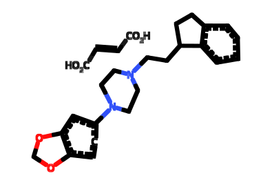 O=C(O)C=CC(=O)O.c1ccc2c(c1)CCC2CCN1CCN(c2ccc3c(c2)OCO3)CC1